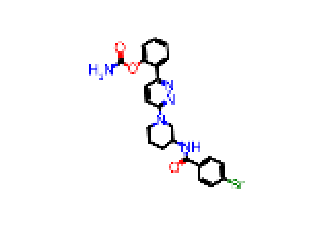 NC(=O)Oc1ccccc1-c1ccc(N2CCCC(NC(=O)c3ccc(Br)cc3)C2)nn1